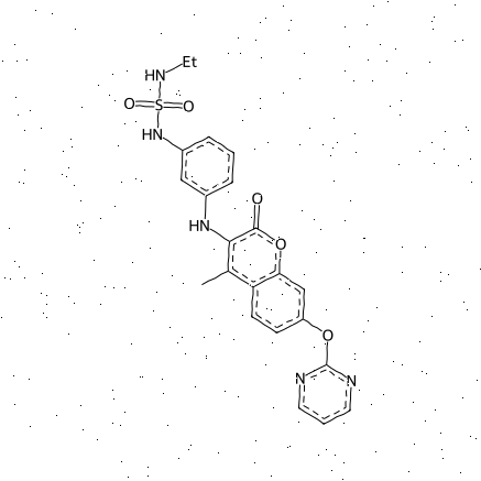 CCNS(=O)(=O)Nc1cccc(Nc2c(C)c3ccc(Oc4ncccn4)cc3oc2=O)c1